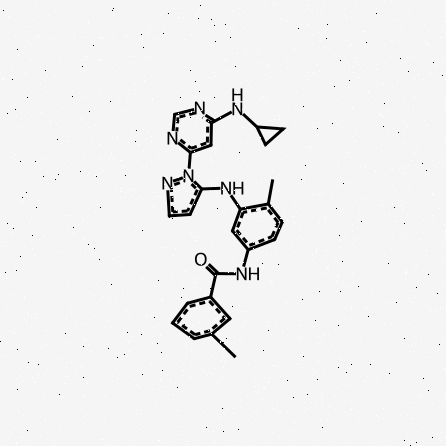 Cc1cccc(C(=O)Nc2ccc(C)c(Nc3ccnn3-c3cc(NC4CC4)ncn3)c2)c1